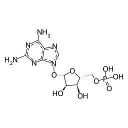 Nc1nc(N)c2ncn(O[C@@H]3O[C@H](COP(=O)(O)O)[C@@H](O)[C@H]3O)c2n1